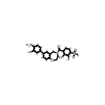 CCc1c(C(=O)N2CCOc3ccc(-c4ccc(N)c(F)c4)cc3C2)ccc(S(C)(=O)=O)c1F